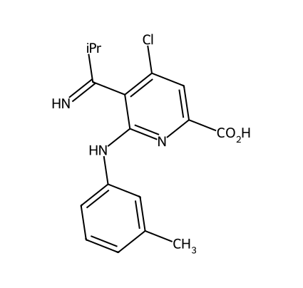 Cc1cccc(Nc2nc(C(=O)O)cc(Cl)c2C(=N)C(C)C)c1